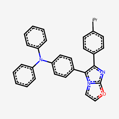 CC(C)c1ccc(-c2nc3occn3c2-c2ccc(N(c3ccccc3)c3ccccc3)cc2)cc1